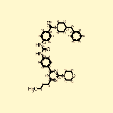 CCCCc1nc(-c2ccc(NC(=O)Nc3ccc(C(=O)N4CCC(Cc5ccccc5)CC4)cc3)cc2)nc(N2CCOCC2)n1